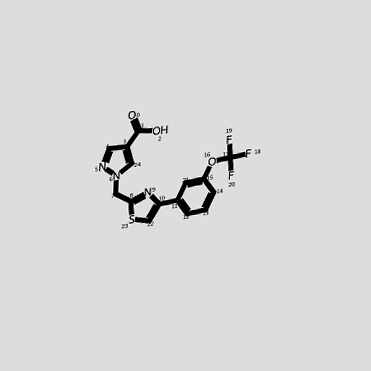 O=C(O)c1cnn(Cc2nc(-c3cccc(OC(F)(F)F)c3)cs2)c1